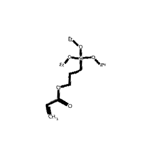 C=CC(=O)OCCC[Si](OCC)(OCC)OC(C)C